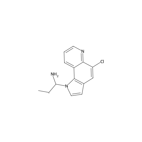 C[CH]C(N)n1ccc2cc(Cl)c3ncccc3c21